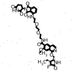 CC[C@@H]1[C@H](F)C(=O)N[C@@H]1COc1nccc2cc(C(=O)NCCOCCOCCNc3cccc4c3C(=O)N(C3CCC(=O)NC3=O)C4=O)c(OC)cc12